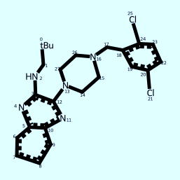 CC(C)(C)CNc1nc2ccccc2nc1N1CCN(Cc2cc(Cl)ccc2Cl)CC1